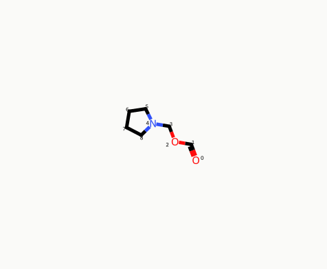 O=[C]OCN1CCCC1